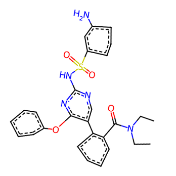 CCN(CC)C(=O)c1ccccc1-c1cnc(NS(=O)(=O)c2cccc(N)c2)nc1Oc1ccccc1